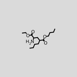 CCCCOC(=O)C(CCCC)CC(N)C(=O)OCC